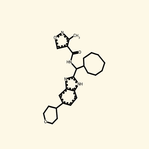 Cc1nocc1C(=O)NC(c1nc2cc(C3CCOCC3)ccc2[nH]1)C1CCCCCCC1